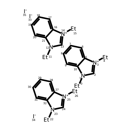 CCn1c[n+](CC)c2ccccc21.CCn1c[n+](CC)c2ccccc21.CCn1c[n+](CC)c2ccccc21.[I-].[I-].[I-]